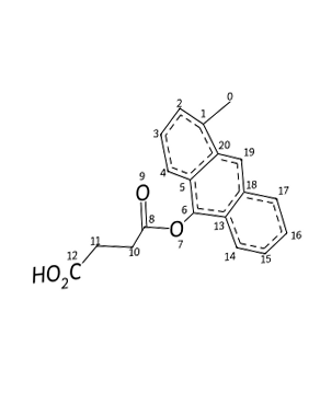 Cc1cccc2c(OC(=O)CCC(=O)O)c3ccccc3cc12